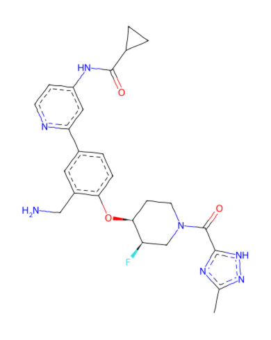 Cc1n[nH]c(C(=O)N2CC[C@H](Oc3ccc(-c4cc(NC(=O)C5CC5)ccn4)cc3CN)[C@H](F)C2)n1